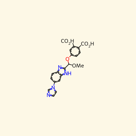 COC(Oc1ccc(C(=O)O)c(C(=O)O)c1)c1nc2ccc(-n3ccnc3)cc2[nH]1